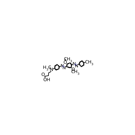 COc1cc(/N=N/c2ccc(N(C)CCCC(=O)O)cc2)c(OC)cc1/N=N/c1ccc(C)cc1